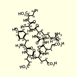 CCC(C)C(NC(=O)C(CCC(=O)O)NC(=O)C(CCC(=O)O)NC(=O)C(CCC(=O)O)NC(=O)C(N)Cc1ccc(O)cc1)C(=O)NC(CCCNC(N)N)C(=O)NC(C(=O)NC(CC(C)C)C(=O)O)C(C)C